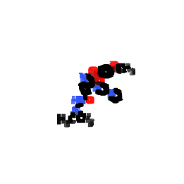 CCN(CC)CCNC(=O)c1ccc2ncc(S(=O)(=O)c3ccc(OC)cc3)c(N3CCC(N4CCCCC4)CC3)c2c1